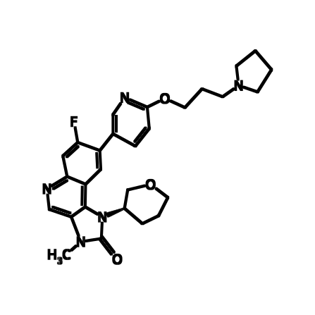 Cn1c(=O)n([C@@H]2CCCOC2)c2c3cc(-c4ccc(OCCCN5CCCC5)nc4)c(F)cc3ncc21